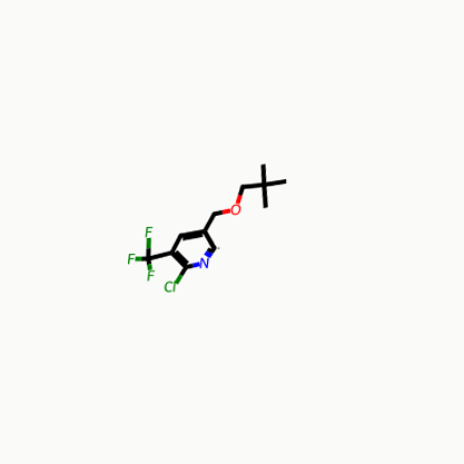 CC(C)(C)COCc1[c]nc(Cl)c(C(F)(F)F)c1